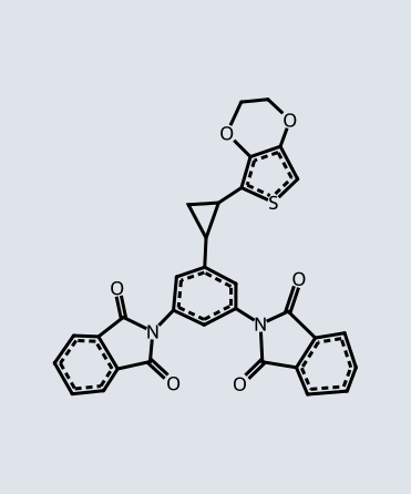 O=C1c2ccccc2C(=O)N1c1cc(C2CC2c2scc3c2OCCO3)cc(N2C(=O)c3ccccc3C2=O)c1